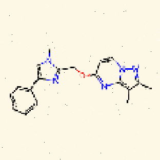 Cc1nn2ccc(OCc3nc(-c4ccccc4)cn3C)nc2c1C